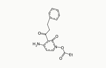 CCC(=O)On1ccc(N)c(C(=O)CCc2ccccc2)c1=O